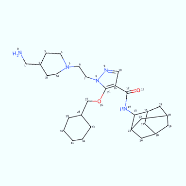 NCC1CCN(CCn2ncc(C(=O)NC3C4CC5CC(C4)CC3C5)c2OCC2CCCCC2)CC1